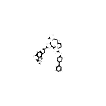 CC(=O)N1CC[C@H]2CC[C@@H](C(=O)Nc3ccc(-c4ccccc4)cc3)N2C(=O)[C@@H](NC(=O)c2cc3cc(C(F)(F)P(=O)(O)O)c(F)cc3s2)C1